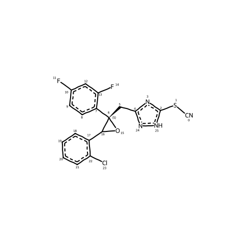 N#CSc1nc(C[C@@]2(c3ccc(F)cc3F)OC2c2ccccc2Cl)n[nH]1